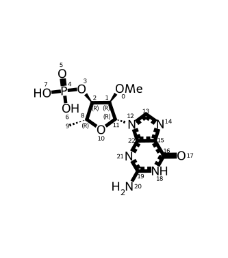 CO[C@@H]1[C@H](OP(=O)(O)O)[C@@H](C)O[C@H]1n1cnc2c(=O)[nH]c(N)nc21